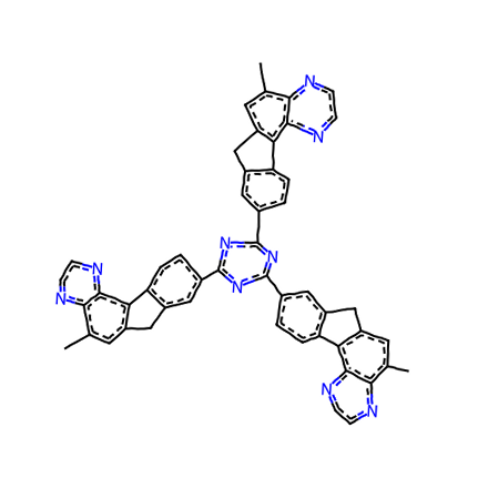 Cc1cc2c(c3nccnc13)-c1ccc(-c3nc(-c4ccc5c(c4)Cc4cc(C)c6nccnc6c4-5)nc(-c4ccc5c(c4)Cc4cc(C)c6nccnc6c4-5)n3)cc1C2